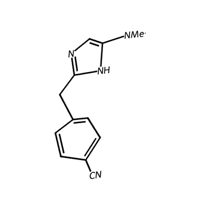 C[N]c1cnc(Cc2ccc(C#N)cc2)[nH]1